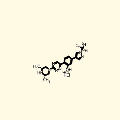 Cl.Cl.[2H]C([2H])([2H])n1cc(-c2ccc(-c3cnc(N4C[C@@H](C)N[C@@H](C)C4)nn3)c(O)c2)cn1